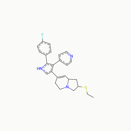 CCSC1CC2C=C(c3c[nH]c(-c4ccc(F)cc4)c3-c3ccncc3)CCN2C1